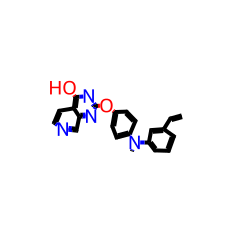 C=Cc1cccc(N(C)c2ccc(Oc3nc(O)c4ccncc4n3)cc2)c1